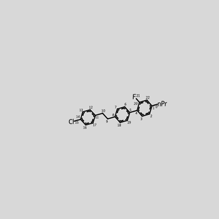 CCCc1ccc(-c2ccc(CCc3ccc(Cl)cc3)cc2)c(F)c1